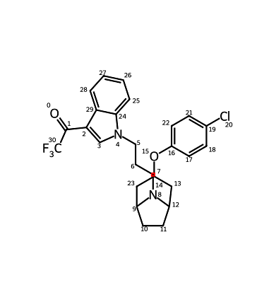 O=C(c1cn(CCCN2C3CCC2CC(Oc2ccc(Cl)cc2)C3)c2ccccc12)C(F)(F)F